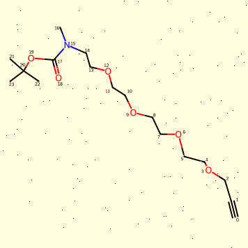 C#CCOCCOCCOCCOCCN(C)C(=O)OC(C)(C)C